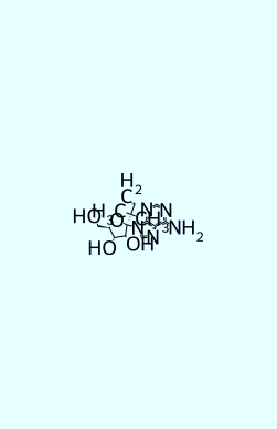 C=CC(C)(C)[C@@]1(n2cnc3c(N)ncnc32)O[C@H](CO)[C@@H](O)[C@H]1O